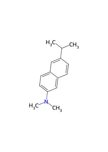 CC(C)c1ccc2cc(N(C)C)ccc2c1